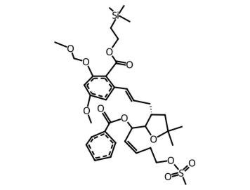 COCOc1cc(OC)cc(/C=C/C[C@@H]2CC(C)(C)OC2C(/C=C\CCOS(C)(=O)=O)OC(=O)c2ccccc2)c1C(=O)OCC[Si](C)(C)C